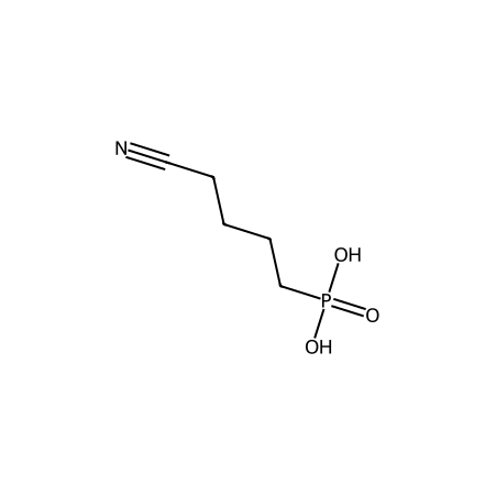 N#CCCCCP(=O)(O)O